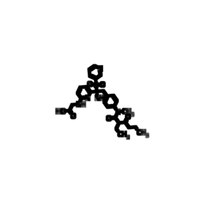 CCCC(=O)C(CC)C(=O)N(C)c1ccc(CC(N)(c2cccc(NCC(=O)O)n2)S(=O)(=O)c2cccnc2)cc1